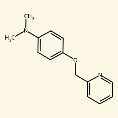 CN(C)c1ccc(OCc2ccccn2)cc1